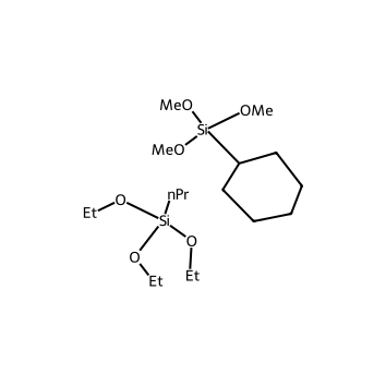 CCC[Si](OCC)(OCC)OCC.CO[Si](OC)(OC)C1CCCCC1